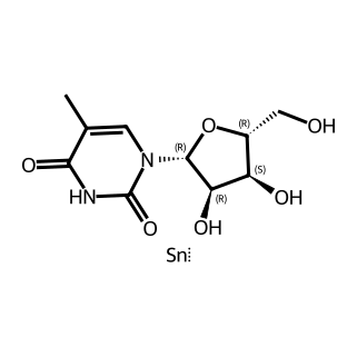 Cc1cn([C@@H]2O[C@H](CO)[C@@H](O)[C@H]2O)c(=O)[nH]c1=O.[Sn]